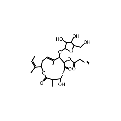 C/C=C(/C)C1C/C=C(\C)C(OC2OC(CO)C(O)C2O)C(OC(=O)CC(C)C)C(=O)CC(O)C(C)C(=O)O1